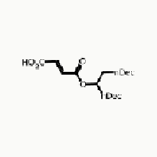 CCCCCCCCCCCC(CCCCCCCCCC)OC(=O)/C=C/C(=O)O